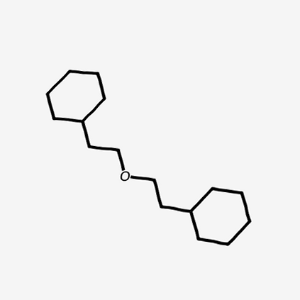 C1CCC(CCOCCC2CCCCC2)CC1